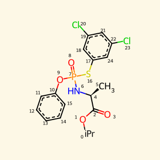 CC(C)OC(=O)[C@H](C)NP(=O)(Oc1ccccc1)Sc1cc(Cl)cc(Cl)c1